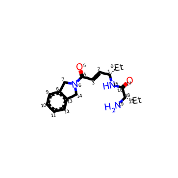 CC[C@@H](/C=C/C(=O)N1Cc2ccccc2C1)NC(=O)[C@@H](N)CC